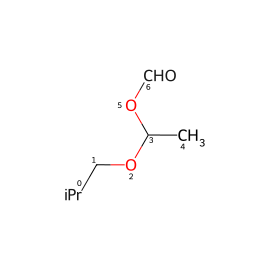 CC(C)COC(C)OC=O